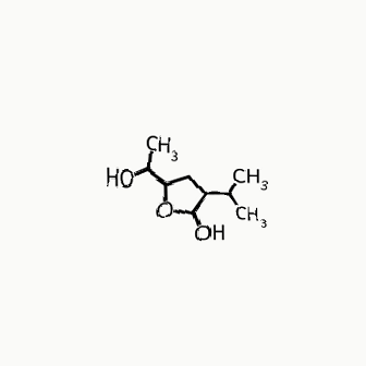 CC(C)C1CC(C(C)O)OC1O